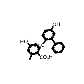 Cc1cc(O)ccc1C(=O)O.O=C(O)c1ccc(O)cc1-c1ccccc1